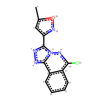 Cc1cc(-c2nnc3c4ccccc4c(Cl)nn23)no1